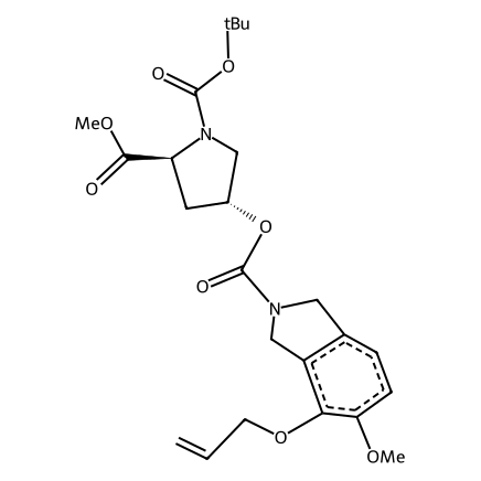 C=CCOc1c(OC)ccc2c1CN(C(=O)O[C@@H]1C[C@@H](C(=O)OC)N(C(=O)OC(C)(C)C)C1)C2